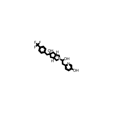 Oc1ccc(CC(O)N2C[C@@H]3C[C@](O)(Cc4ccc(C(F)(F)F)cc4)C[C@@H]3C2)nc1